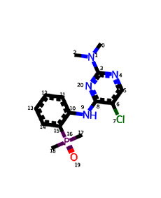 CN(C)c1ncc(Cl)c(Nc2ccccc2P(C)(C)=O)n1